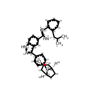 CC(C)[C@H](NC(=O)c1ccc2[nH]nc(-c3ccc(N4[C@@H]5CC[C@H]4C[C@@H](O)C5)cc3)c2c1)c1ccccc1Cl